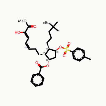 CCCCC(C)(C)CCC[C@@H]1[C@@H](CC/C=C\C=C(O)C(=O)OC)[C@@H](OC(=O)c2ccccc2)C[C@@H]1OS(=O)(=O)c1ccc(C)cc1